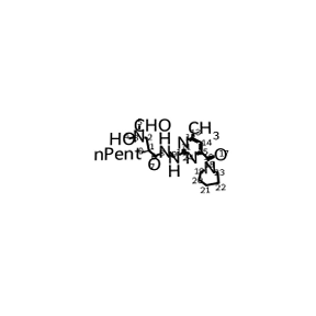 CCCCC[C@@H](CN(O)C=O)C(=O)NNc1nc(C)cc(C(=O)N2CCCCC2)n1